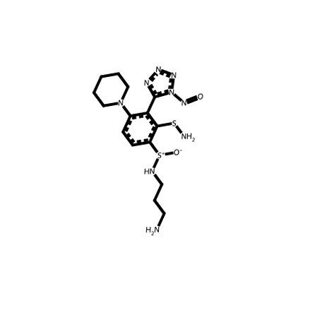 NCCCN[S+]([O-])c1ccc(N2CCCCC2)c(-c2nnnn2N=O)c1SN